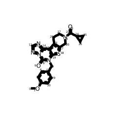 COc1ccc(Cn2c(=O)n3ncnc3c3c4c(sc32)CN(C(=O)C2CC2)CC4)cc1